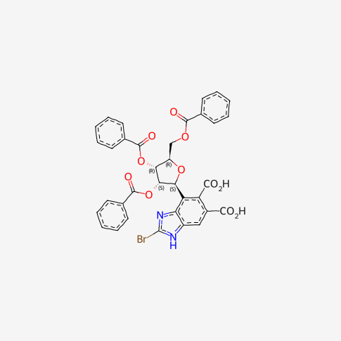 O=C(OC[C@H]1O[C@@H](c2c(C(=O)O)c(C(=O)O)cc3[nH]c(Br)nc23)[C@H](OC(=O)c2ccccc2)[C@@H]1OC(=O)c1ccccc1)c1ccccc1